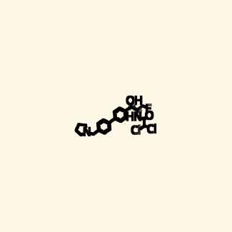 O=C(N[C@H](CF)[C@H](O)c1ccc(-c2ccc(CN3CCCC3)cc2)cc1)C(Cl)Cl